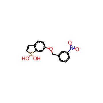 O=[N+]([O-])c1cccc(COc2ccc3c(c2)S(O)(O)C=C3)c1